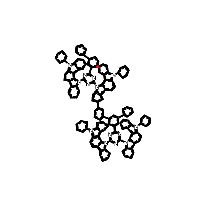 c1ccc(-c2cccc(-c3nc(-n4c5ccccc5c5ccc6c(c7ccccc7n6-c6ccccc6)c54)nc(-n4c5ccc(-c6cccc(-c7cc(-c8ccccc8)cc(-c8nc(-n9c%10ccccc%10c%10ccc%11c(c%12ccccc%12n%11-c%11ccccc%11)c%109)nc(-n9c%10ccccc%10c%10ccc%11c(c%12ccccc%12n%11-c%11ccccc%11)c%109)n8)c7)c6)cc5c5ccc6c(c7ccccc7n6-c6ccccc6)c54)n3)c2)cc1